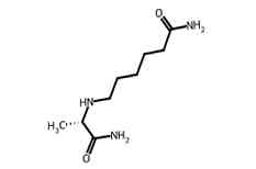 C[C@H](NCCCCCC(N)=O)C(N)=O